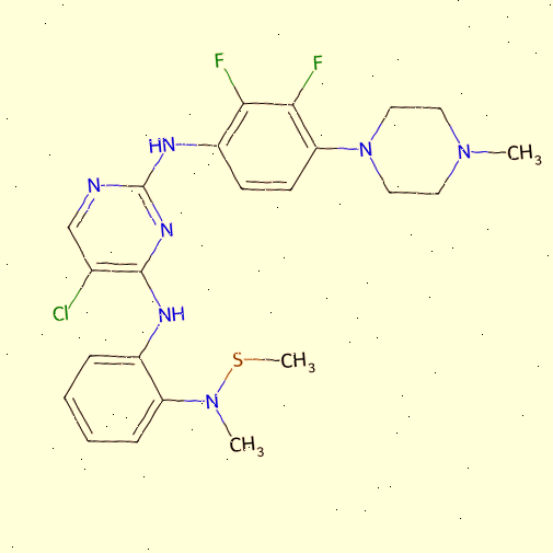 CSN(C)c1ccccc1Nc1nc(Nc2ccc(N3CCN(C)CC3)c(F)c2F)ncc1Cl